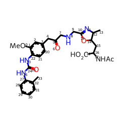 COc1cc(CC(=O)CNCC2=NC(C)C(CC(NC(C)=O)C(=O)O)O2)ccc1NC(=O)Nc1ccccc1C